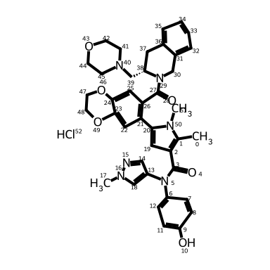 Cc1c(C(=O)N(c2ccc(O)cc2)c2cnn(C)c2)cc(-c2cc3c(cc2C(=O)N2Cc4ccccc4C[C@H]2CN2CCOCC2)OCCO3)n1C.Cl